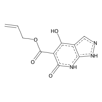 C=CCOC(=O)c1c(O)c2cn[nH]c2[nH]c1=O